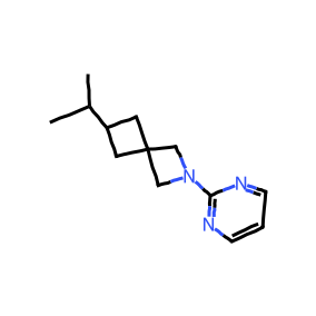 CC(C)C1CC2(C1)CN(c1ncccn1)C2